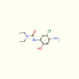 CCN(CC)C(=O)Nc1cc(Cl)c(N)cc1O